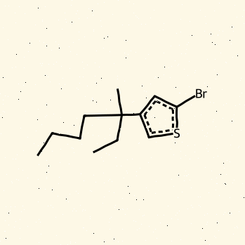 CCCCC(C)(CC)c1csc(Br)c1